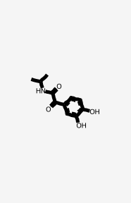 CC(C)NC(=O)C(=O)c1ccc(O)c(O)c1